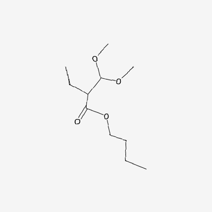 CCCCOC(=O)C(CC)C(OC)OC